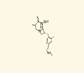 BCCc1ccc(CC2CN(CC(C)C(=C)NS)C2)c(C)c1